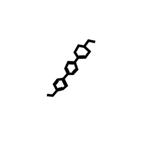 CCc1ccc(-c2ccc(C3=CCC(CC)CC3)cc2)cc1